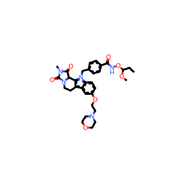 CCC(OC)ONC(=O)c1ccc(Cn2c3c(c4cc(OCCN5CCOCC5)ccc42)CCN2C(=O)N(C)C(=O)C32)cc1